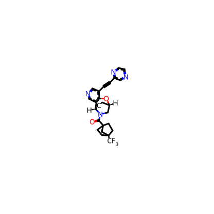 O=C(N1C[C@@H]2CC[C@H]1c1cncc(C#Cc3cnccn3)c1O2)C12CCC(C(F)(F)F)(CC1)C2